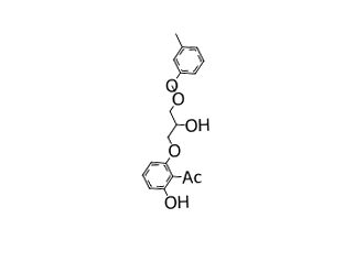 CC(=O)c1c(O)cccc1OCC(O)COOc1cccc(C)c1